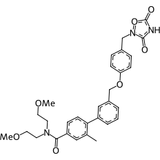 COCCN(CCOC)C(=O)c1ccc(-c2cccc(COc3ccc(Cn4oc(=O)[nH]c4=O)cc3)c2)c(C)c1